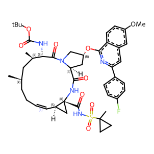 COc1ccc2c(O[C@@H]3C[C@H]4C(=O)N[C@]5(C(=O)NS(=O)(=O)C6(C)CC6)C[C@H]5/C=C\CC[C@@H](C)C[C@@H](C)[C@H](NC(=O)OC(C)(C)C)C(=O)N4C3)nc(-c3ccc(F)cc3)cc2c1